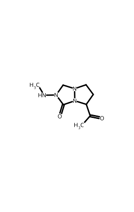 CNN1CN2CCC(C(C)=O)N2C1=O